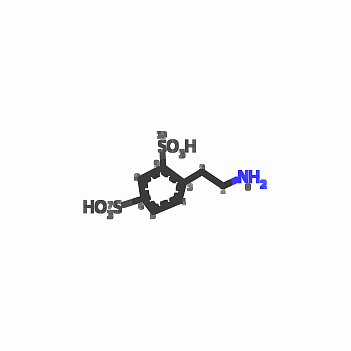 NCCc1ccc(S(=O)(=O)O)cc1S(=O)(=O)O